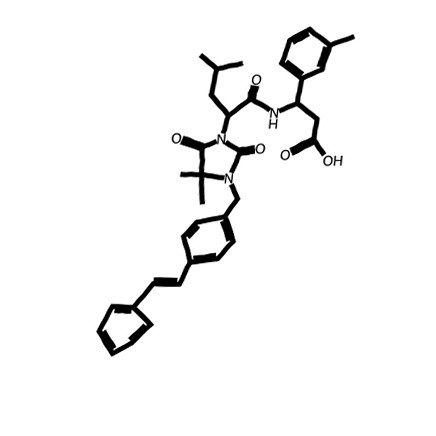 Cc1cccc(C(CC(=O)O)NC(=O)C(CC(C)C)N2C(=O)N(Cc3ccc(C=Cc4ccccc4)cc3)C(C)(C)C2=O)c1